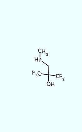 CPCC(O)(C(F)(F)F)C(F)(F)F